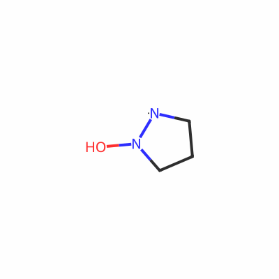 ON1CCC[N]1